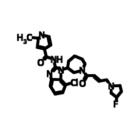 Cc1cc(C(=O)Nc2nc3cccc(Cl)c3n2C2CCCCN(C(=O)/C=C/CN3CCC(F)C3)C2)ccn1